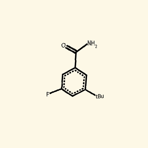 CC(C)(C)c1cc(F)cc(C(N)=O)c1